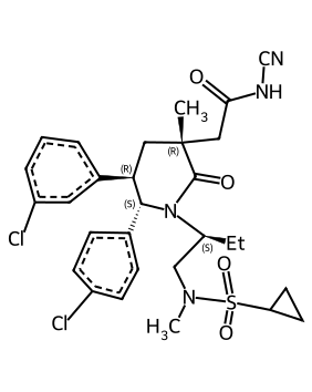 CC[C@@H](CN(C)S(=O)(=O)C1CC1)N1C(=O)[C@@](C)(CC(=O)NC#N)C[C@H](c2cccc(Cl)c2)[C@H]1c1ccc(Cl)cc1